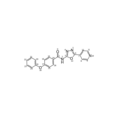 O=C(Nc1nnc(-c2ccncc2)o1)c1ccc(Oc2ccccc2)cc1